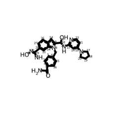 NC(=O)c1ccc(Cn2c(C(O)Nc3cc(N4CCCC4)ccn3)cc3ccc(/C(N)=N/O)cc32)cc1